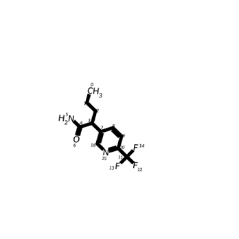 CCCC(C(N)=O)c1ccc(C(F)(F)F)nc1